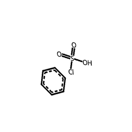 O=S(=O)(O)Cl.c1ccccc1